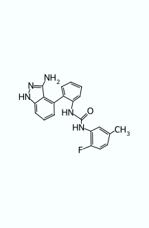 Cc1ccc(F)c(NC(=O)Nc2ccccc2-c2cccc3[nH]nc(N)c23)c1